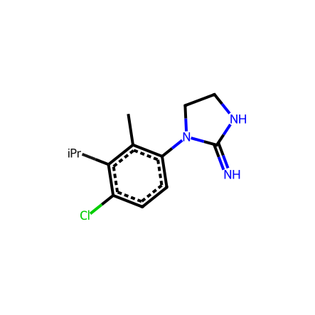 Cc1c(N2CCNC2=N)ccc(Cl)c1C(C)C